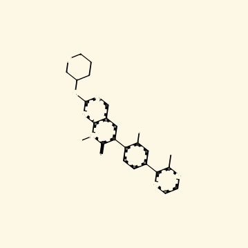 CCn1c(=O)c(-c2ccc(-c3nccnc3C)cc2Cl)cc2cnc(NC3CCCOC3)nc21